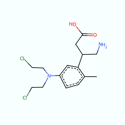 Cc1ccc(N(CCCl)CCCl)cc1C(CN)CC(=O)O